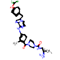 Cc1cc(Nc2nccn3c(Cc4ccc(OC(F)F)cc4)cnc23)ccc1C(=O)N1CCN(C(=O)NC[C@@H](C)N)CC1